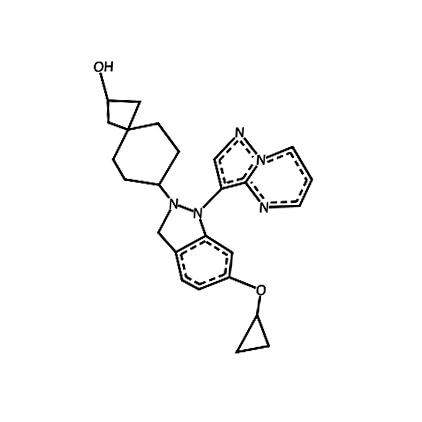 OC1CC2(CCC(N3Cc4ccc(OC5CC5)cc4N3c3cnn4cccnc34)CC2)C1